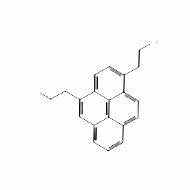 OCCc1ccc2c(CCO)cc3cccc4ccc1c2c43